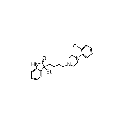 CCC1(CCCCN2CCN(c3ccccc3Cl)CC2)C(=O)Nc2ccccc21